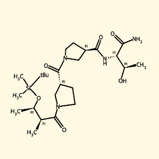 C[C@H](C(=O)N1CC[C@@H](C(=O)N2CC[C@@H](C(=O)N[C@H](C(N)=O)[C@@H](C)O)C2)C1)[C@@H](C)O[Si](C)(C)C(C)(C)C